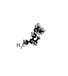 Cn1cc(-c2cc(-c3ccc(N4CCC(OC(=O)C(F)(F)F)(C(F)(F)F)C4)nc3)c3c(C#N)cnn3c2)cn1